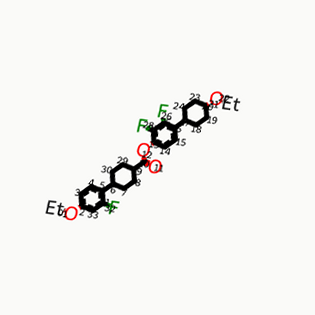 CCOc1ccc(C2CCC(C(=O)Oc3ccc(C4CCC(OCC)CC4)c(F)c3F)CC2)c(F)c1